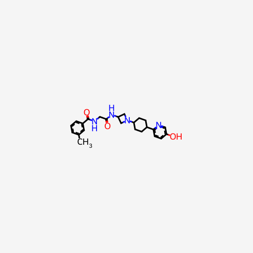 Cc1cccc(C(=O)NCC(=O)NC2CN(C3CCC(c4ccc(O)cn4)CC3)C2)c1